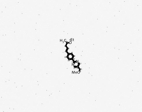 CCOC(C)C/C=C/c1ccc(-c2ncc(COC)cn2)cc1